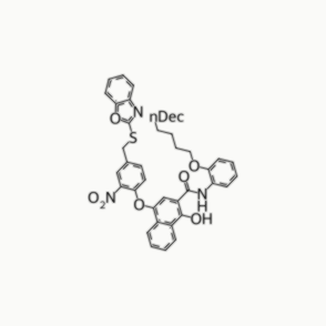 CCCCCCCCCCCCCCOc1ccccc1NC(=O)c1cc(Oc2ccc(CSc3nc4ccccc4o3)cc2[N+](=O)[O-])c2ccccc2c1O